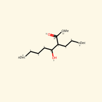 CCCCCCCCCCCCCC(O)C(CCCCCCCCCCCC)C(=O)OC